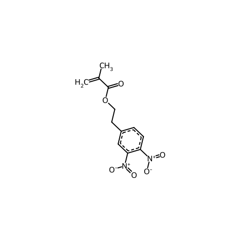 C=C(C)C(=O)OCCc1ccc([N+](=O)[O-])c([N+](=O)[O-])c1